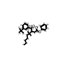 CCCCCC(C)(C)C(CC(=O)Oc1ccccc1)C(O)c1cccc(C(C)(C)C)c1